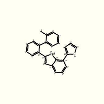 Cc1ccccc1-c1ccccc1-c1cc2cccc(-c3cccs3)c2[nH]1